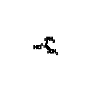 C=CP.Cl